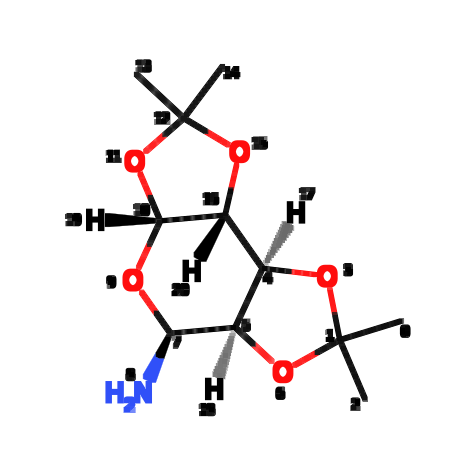 CC1(C)O[C@H]2[C@@H](O1)[C@@H](N)O[C@@H]1OC(C)(C)O[C@@H]12